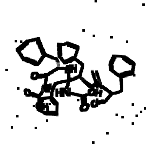 O=CC(Cc1ccccc1)NC[C@H](Cc1ccccc1)C(Cc1ccccc1)(NC(=O)O)N[C@@H](Cc1ccccc1)C(=O)NC(=O)O